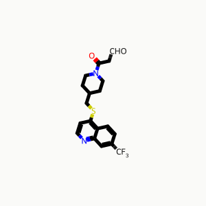 O=CCC(=O)N1CCC(CSc2ccnc3cc(C(F)(F)F)ccc23)CC1